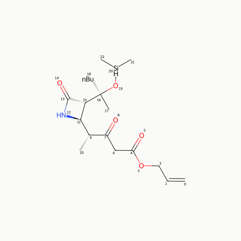 C=CCOC(=O)CC(=O)[C@H](C)[C@H]1NC(=O)[C@@H]1[C@@](C)(CCCC)O[SiH](C)C